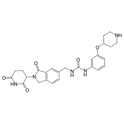 O=C1CCC(N2Cc3ccc(CNC(=O)Nc4cccc(OC5CCNCC5)c4)cc3C2=O)C(=O)N1